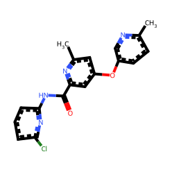 Cc1ccc(Oc2cc(C)nc(C(=O)Nc3cccc(Cl)n3)c2)cn1